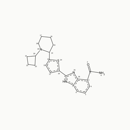 NC(=O)c1cccc2[nH]c(-c3ccc(C4CCCCN4C4CCC4)s3)nc12